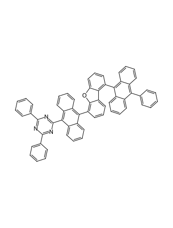 c1ccc(-c2nc(-c3ccccc3)nc(-c3c4ccccc4c(-c4cccc5c4oc4cccc(-c6c7ccccc7c(-c7ccccc7)c7ccccc67)c45)c4ccccc34)n2)cc1